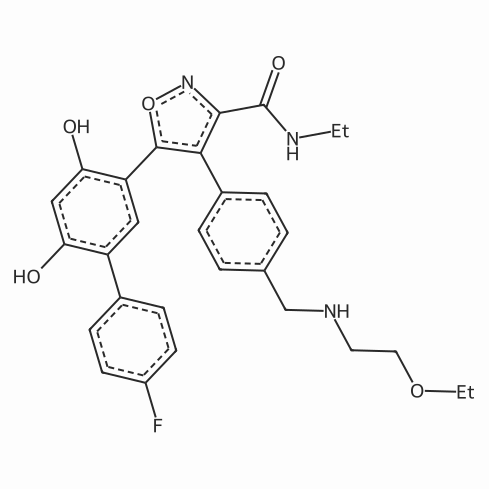 CCNC(=O)c1noc(-c2cc(-c3ccc(F)cc3)c(O)cc2O)c1-c1ccc(CNCCOCC)cc1